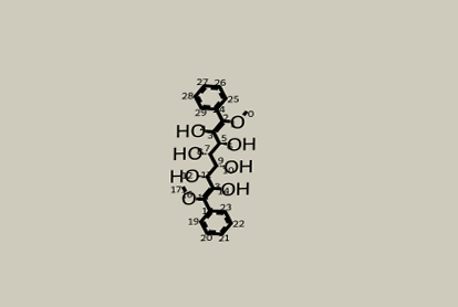 COC(=C(O)[C@@H](O)[C@@H](O)[C@H](O)[C@@H](O)C(O)=C(OC)c1ccccc1)c1ccccc1